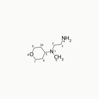 CN(CCN)C1CCOCC1